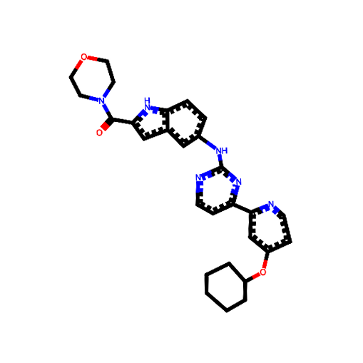 O=C(c1cc2cc(Nc3nccc(-c4cc(OC5CCCCC5)ccn4)n3)ccc2[nH]1)N1CCOCC1